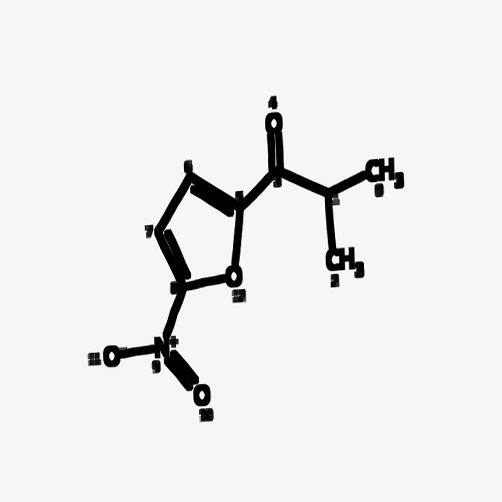 CC(C)C(=O)c1ccc([N+](=O)[O-])o1